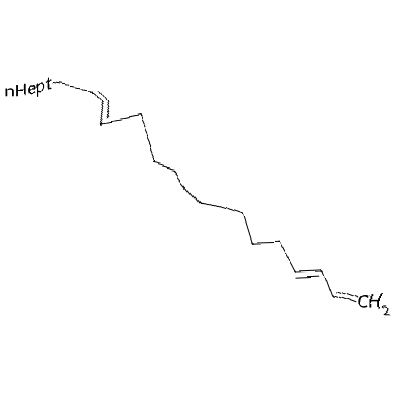 C=CC=CCCCCCCCC=CCCCCCCC